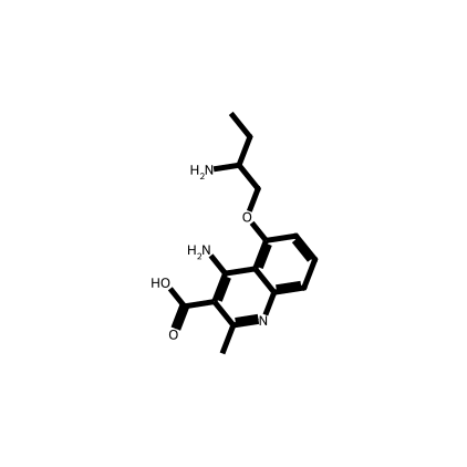 CCC(N)COc1cccc2nc(C)c(C(=O)O)c(N)c12